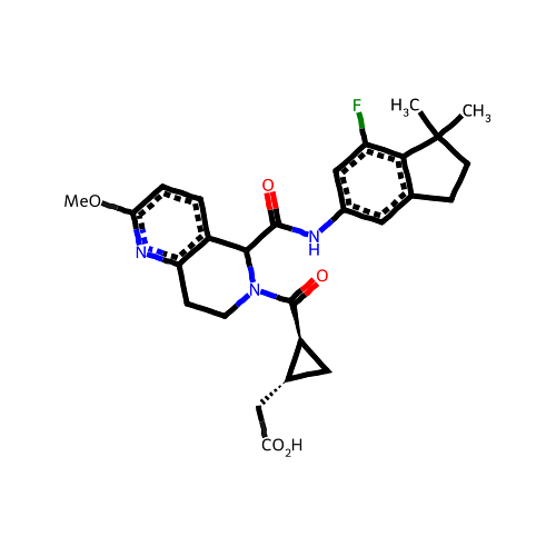 COc1ccc2c(n1)CCN(C(=O)[C@H]1C[C@@H]1CC(=O)O)C2C(=O)Nc1cc(F)c2c(c1)CCC2(C)C